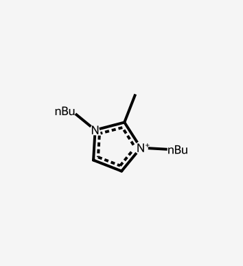 CCCCn1cc[n+](CCCC)c1C